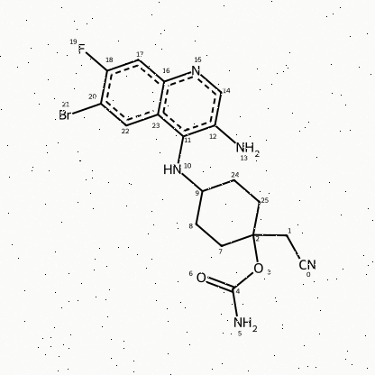 N#CCC1(OC(N)=O)CCC(Nc2c(N)cnc3cc(F)c(Br)cc23)CC1